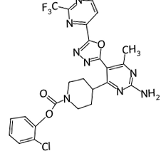 Cc1nc(N)nc(C2CCN(C(=O)Oc3ccccc3Cl)CC2)c1-c1nnc(-c2ccnc(C(F)(F)F)n2)o1